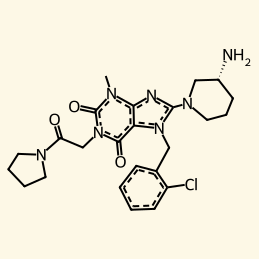 Cn1c(=O)n(CC(=O)N2CCCC2)c(=O)c2c1nc(N1CCC[C@@H](N)C1)n2Cc1ccccc1Cl